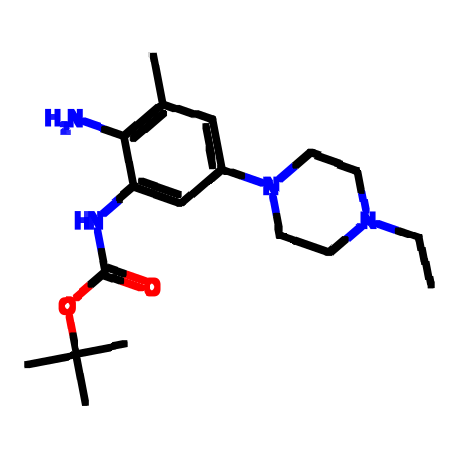 CCN1CCN(c2cc(C)c(N)c(NC(=O)OC(C)(C)C)c2)CC1